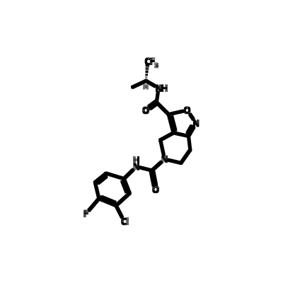 C[C@@H](NC(=O)c1onc2c1CN(C(=O)Nc1ccc(F)c(Cl)c1)CC2)C(F)(F)F